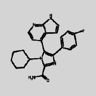 NC(=O)c1nc(-c2ccc(F)cc2)c(-c2ccnc3[nH]ccc23)n1C1CCCCC1